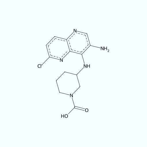 Nc1cnc2ccc(Cl)nc2c1NC1CCCN(C(=O)O)C1